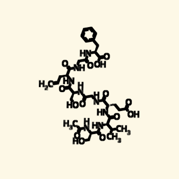 C=CC[C@H](NC(=O)[C@H](CO)NC(=O)CNC(=O)[C@H](CCC(=O)O)NC(=O)[C@H](NC(=O)[C@@H](CO)NC(C)=O)C(C)C)C(=O)NCC(=O)N[C@@H](Cc1ccccc1)C(=O)O